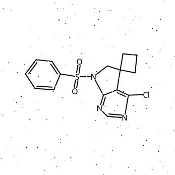 O=S(=O)(c1ccccc1)N1CC2(CCC2)c2c(Cl)ncnc21